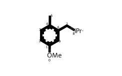 COc1ccc(C)c(C[C](C)C)c1